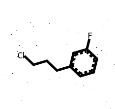 Fc1cccc(CCCCl)c1